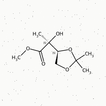 COC(=O)[C@@](C)(O)[C@@H]1COC(C)(C)O1